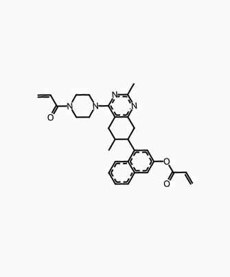 C=CC(=O)Oc1cc(C2Cc3nc(C)nc(N4CCN(C(=O)C=C)CC4)c3CC2C)c2ccccc2c1